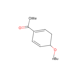 CCCCOC1C=CC(C(=O)OC)=CC1